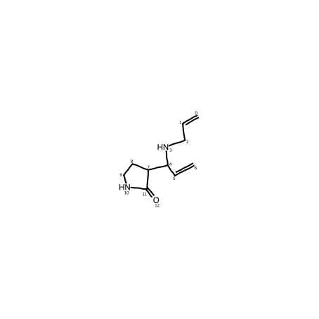 C=CCNC(C=C)C1CCNC1=O